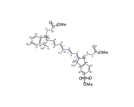 COC(=O)CCN1/C(=C/C=C/C(C)=C/C=C/C2=[N+](CCC(=O)OC)c3ccc(C)cc3C2(C)C)C(C)(C)c2cc(S(=O)(=O)OC)ccc21